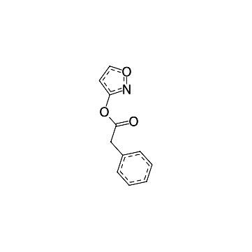 O=C(Cc1ccccc1)Oc1ccon1